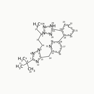 CCCCCn1nc(C(C)(C)C)nc1Cc1ccc(-c2ccccc2-c2nnn[nH]2)cn1